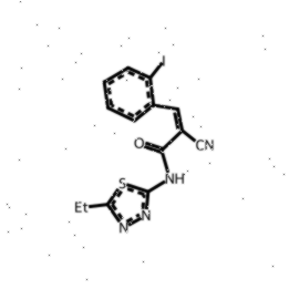 CCc1nnc(NC(=O)C(C#N)=Cc2ccccc2I)s1